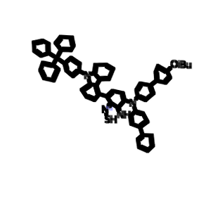 CC(C)COc1ccc(-c2ccc(N(C3=CC=C(c4cccc5c4c4ccccc4n5-c4ccc(C(c5ccccc5)(c5ccccc5)c5ccccc5)cc4)/C(=N/S)C3=N)c3ccc(-c4ccccc4)cc3)cc2)cc1